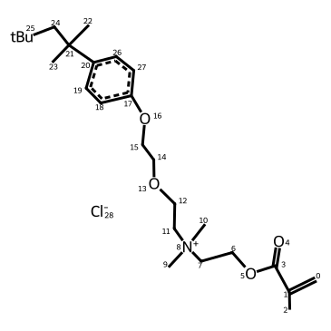 C=C(C)C(=O)OCC[N+](C)(C)CCOCCOc1ccc(C(C)(C)CC(C)(C)C)cc1.[Cl-]